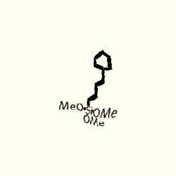 CO[Si](C=CC=Cc1ccccc1)(OC)OC